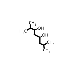 CC(C)C[C@H](O)C[C@H](O)C(C)C